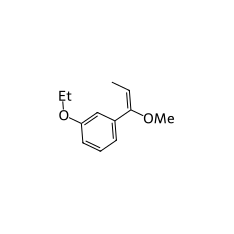 C/C=C(/OC)c1cccc(OCC)c1